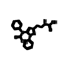 CC(=O)N(c1ccccc1)c1cc(CCNC(=O)O)nn1-c1ccccc1